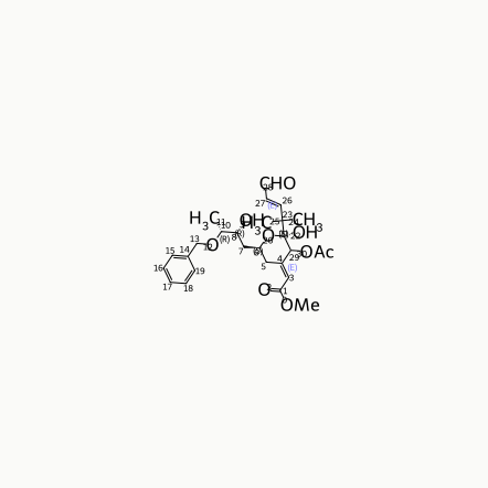 COC(=O)/C=C1\C[C@@H](C[C@@H](O)[C@@H](C)OCc2ccccc2)O[C@@](O)(C(C)(C)/C=C/C=O)C1OC(C)=O